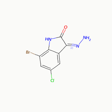 N/N=C1\C(=O)Nc2c(Br)cc(Cl)cc21